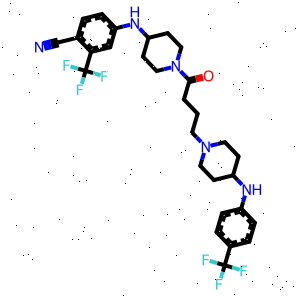 N#Cc1ccc(NC2CCN(C(=O)CCCN3CCC(Nc4ccc(C(F)(F)F)cc4)CC3)CC2)cc1C(F)(F)F